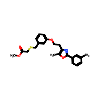 COC(=O)CSCc1cccc(OCCc2nc(-c3cccc(C)c3)oc2C)c1